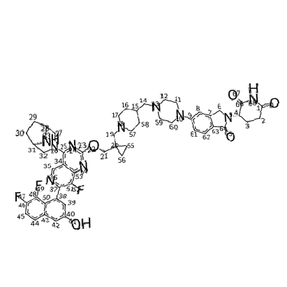 O=C1CC[C@H](N2Cc3cc(N4CCN(CC5CCN(CC6(COc7nc(N8CC9CCC(C8)N9)c8cnc(-c9cc(O)cc%10ccc(F)c(F)c9%10)c(F)c8n7)CC6)CC5)CC4)ccc3C2=O)C(=O)N1